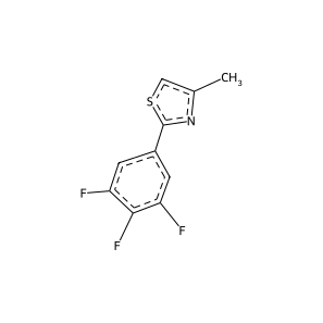 Cc1csc(-c2cc(F)c(F)c(F)c2)n1